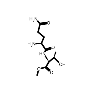 COC(=O)[C@@H](NC(=O)[C@@H](N)CCC(N)=O)[C@@H](C)O